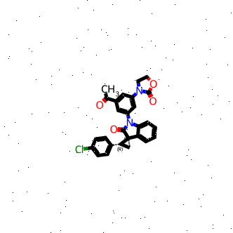 CC(=O)c1cc(N2CCOC2=O)cc(N2C(=O)[C@@]3(C[C@@H]3c3ccc(Cl)cc3)c3ccccc32)c1